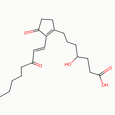 CCCCCC(=O)C=CC1=C(CCCC(O)CCC(=O)O)CCC1=O